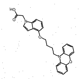 O=C(O)Cn1ccc2c(OCCCCN3c4ccccc4Oc4ccccc43)cccc21